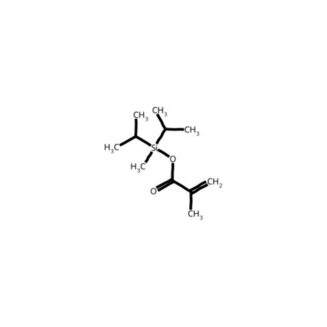 C=C(C)C(=O)O[Si](C)(C(C)C)C(C)C